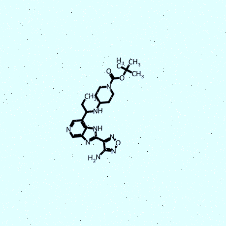 CCC(NC1CCN(C(=O)OC(C)(C)C)CC1)c1cncc2nc(-c3nonc3N)[nH]c12